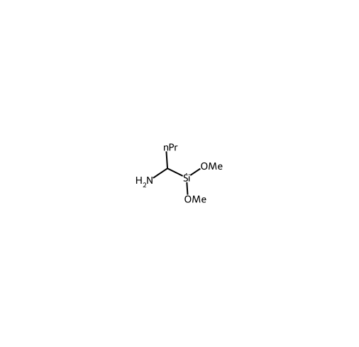 CCCC(N)[Si](OC)OC